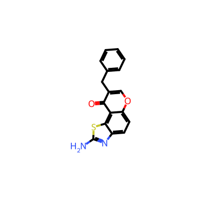 Nc1nc2ccc3occ(Cc4ccccc4)c(=O)c3c2s1